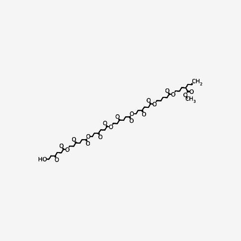 C=CCC(CCCOC(=O)CCCCOC(=O)CCC(=O)CCOC(=O)CCC(=O)CCOC(=O)CCC(=O)CCOC(=O)CCC(=O)CCOC(=O)CCC(=O)CCO)C(=O)OC